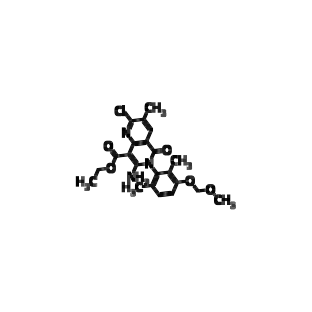 CCOC(=O)c1c(N)n(-c2c(C)ccc(OCOC)c2C)c(=O)c2cc(C)c(Cl)nc12